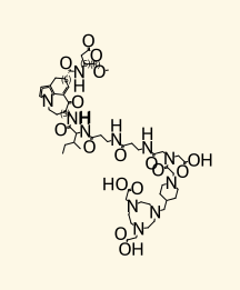 CCC(C)C(NC(=O)CCNC(=O)CCNC(=O)CN(CC(=O)O)C(=O)CN1CCC(CN2CCN(CC(=O)O)CCN(CC(=O)O)CC2)CC1)C(=O)N[C@H]1CCn2ccc3c2C(=C[C@@H](C(=O)N[C@H]2CC(=O)O[C@H]2OC)C3)C1=O